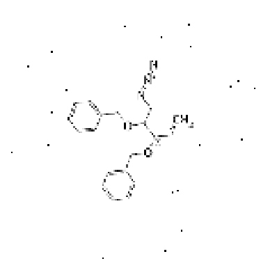 C=C[C@H](OCc1ccccc1)C(CN=[N+]=[N-])OCc1ccccc1